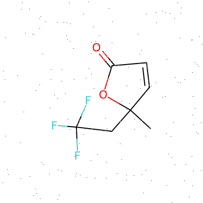 CC1(CC(F)(F)F)C=CC(=O)O1